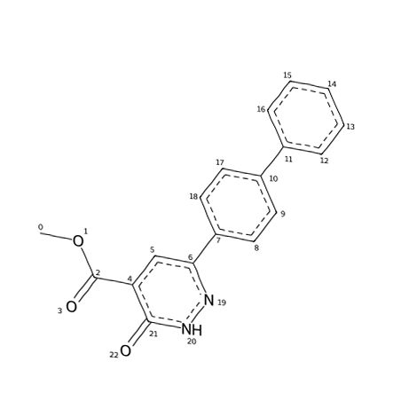 COC(=O)c1cc(-c2ccc(-c3ccccc3)cc2)n[nH]c1=O